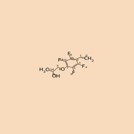 C=Cc1c(F)c(F)c(OCC(C)O)c(F)c1F